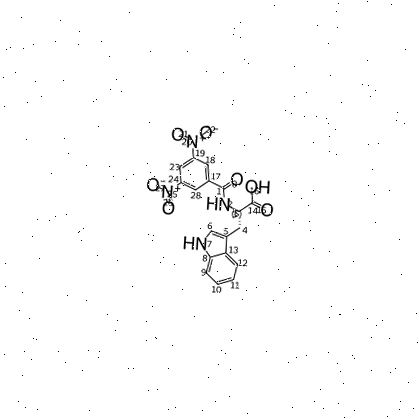 O=C(N[C@@H](Cc1c[nH]c2ccccc12)C(=O)O)c1cc([N+](=O)[O-])cc([N+](=O)[O-])c1